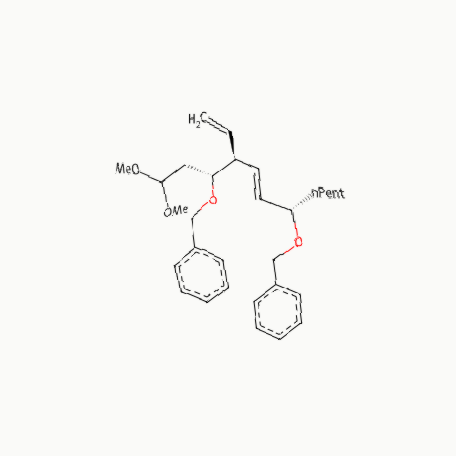 C=C[C@@H](/C=C/[C@H](CCCCC)OCc1ccccc1)[C@@H](CC(OC)OC)OCc1ccccc1